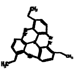 CCc1ccc(Br)c(B(c2c(Br)ccc(CC)c2Br)c2c(Br)ccc(CC)c2Br)c1Br